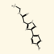 CCOC(=O)Cc1nc(-c2ccc(Br)cc2)cs1